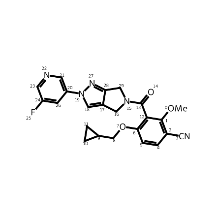 COc1c(C#N)ccc(OCC2CC2)c1C(=O)N1Cc2cn(-c3cncc(F)c3)nc2C1